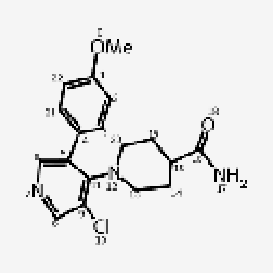 COc1ccc(-c2cncc(Cl)c2N2CCC(C(N)=O)CC2)cc1